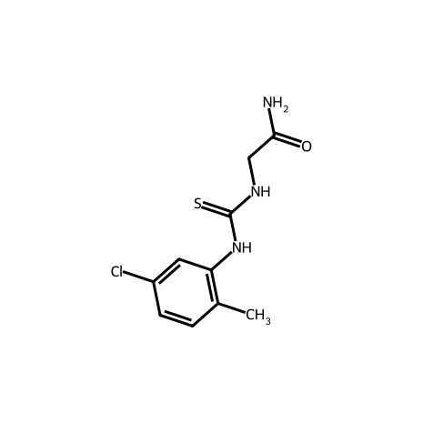 Cc1ccc(Cl)cc1NC(=S)NCC(N)=O